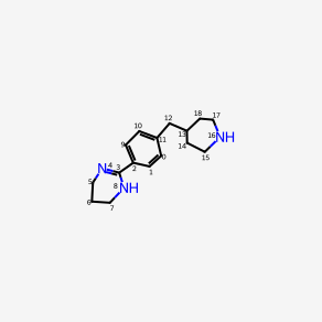 c1cc(C2=NCCCN2)ccc1CC1CCNCC1